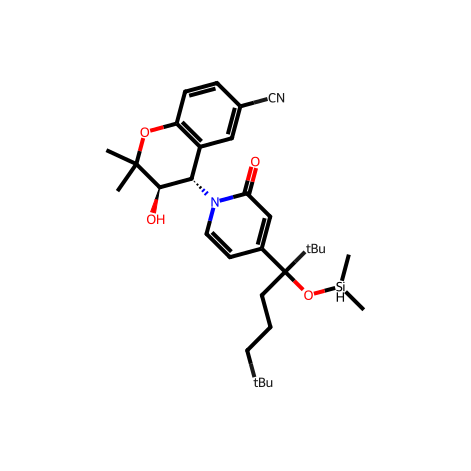 C[SiH](C)OC(CCCC(C)(C)C)(c1ccn([C@H]2c3cc(C#N)ccc3OC(C)(C)[C@@H]2O)c(=O)c1)C(C)(C)C